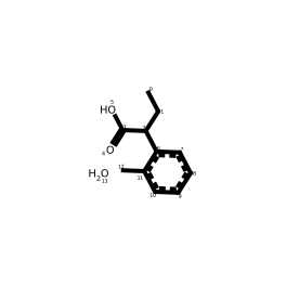 CCC(C(=O)O)c1ccccc1C.O